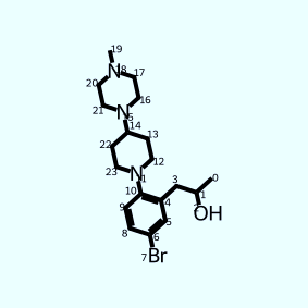 CC(O)Cc1cc(Br)ccc1N1CCC(N2CCN(C)CC2)CC1